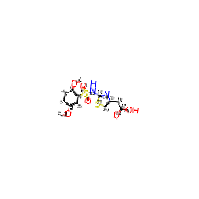 COc1ccc(OC)c(S(=O)(=O)Nc2nc(CC(=O)O)cs2)c1